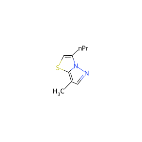 CCCc1csc2c(C)cnn12